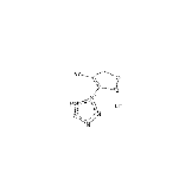 N#CC1=C([n+]2nnc[nH]2)OOC1.[Cl-]